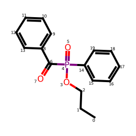 CCCOP(=O)(C(=O)c1ccccc1)c1ccccc1